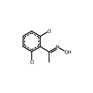 CC(=NO)c1c(Cl)cccc1Cl